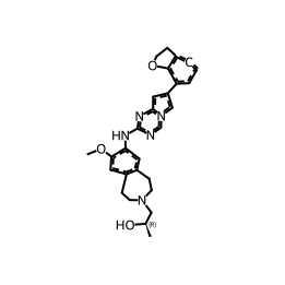 COc1cc2c(cc1Nc1ncn3cc(-c4cccc5c4OCC5)cc3n1)CCN(C[C@@H](C)O)CC2